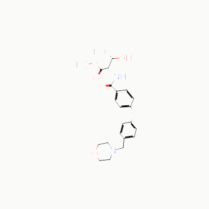 COC(=O)[C@@H](NC(=O)c1ccc(Sc2ccc(CN3CCOCC3)cc2)cc1)[C@@H](C)O